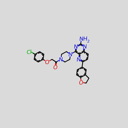 Nc1nc(N2CCN(C(=O)COc3ccc(Cl)cc3)CC2)c2nc(-c3ccc4c(c3)CCO4)ccc2n1